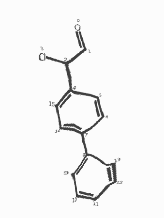 O=CC(Cl)c1ccc(-c2ccccc2)cc1